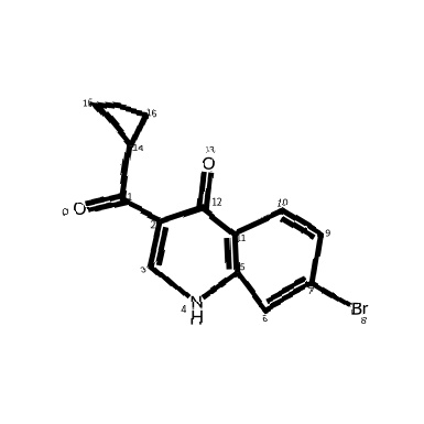 O=C(c1c[nH]c2cc(Br)ccc2c1=O)C1CC1